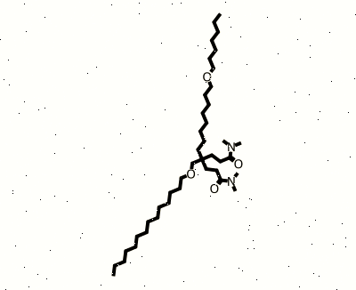 CCCCCCCCCCCCCCOCC(CCCCCCCCOCCCCCCC)(CCC(=O)N(C)C)CCC(=O)N(C)C